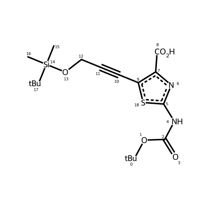 CC(C)(C)OC(=O)Nc1nc(C(=O)O)c(C#CCO[Si](C)(C)C(C)(C)C)s1